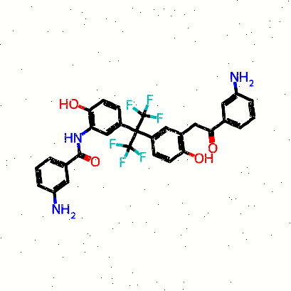 Nc1cccc(C(=O)Cc2cc(C(c3ccc(O)c(NC(=O)c4cccc(N)c4)c3)(C(F)(F)F)C(F)(F)F)ccc2O)c1